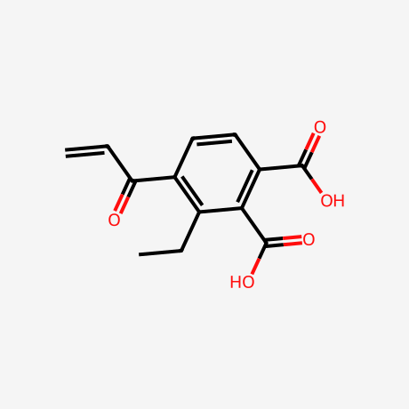 C=CC(=O)c1ccc(C(=O)O)c(C(=O)O)c1CC